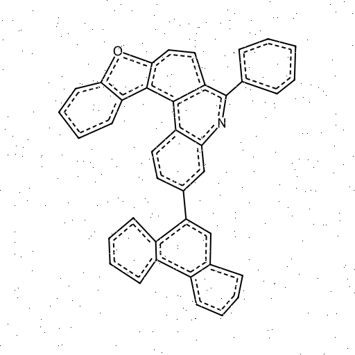 c1ccc(-c2nc3cc(-c4cc5ccccc5c5ccccc45)ccc3c3c2ccc2oc4ccccc4c23)cc1